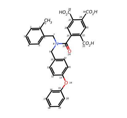 Cc1ccccc1CN(Cc1ccc(Oc2ccccc2)cc1)C(=O)c1cc(C(=O)O)c(C(=O)O)cc1C(=O)O